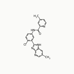 Cc1ccnc(C(=O)Nc2ccc(Cl)c(-c3nc4ncc(C)cc4[nH]3)c2)c1